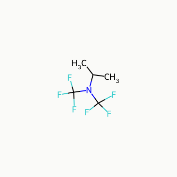 CC(C)N(C(F)(F)F)C(F)(F)F